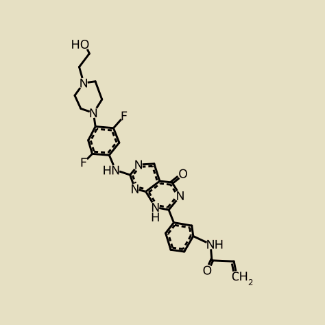 C=CC(=O)Nc1cccc(-c2nc(=O)c3cnc(Nc4cc(F)c(N5CCN(CCO)CC5)cc4F)nc3[nH]2)c1